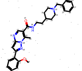 COc1ccccc1-c1cc2ncc(C(=O)NCCC3CCN(Cc4ccccc4)CC3)c(C)n2n1